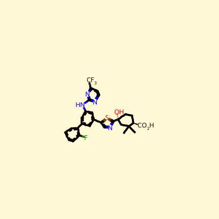 CC1(C)C[C@@](O)(c2ncc(-c3cc(Nc4nccc(C(F)(F)F)n4)cc(-c4ccccc4F)c3)s2)CC[C@H]1C(=O)O